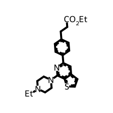 CCOC(=O)CCc1ccc(-c2cc3ccsc3c(N3CCN(CC)CC3)n2)cc1